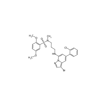 COc1ccc(OC)c(S(=O)(=O)N(C)CCCNc2cc(-c3ccccc3Cl)cc3c(Br)cnn23)c1